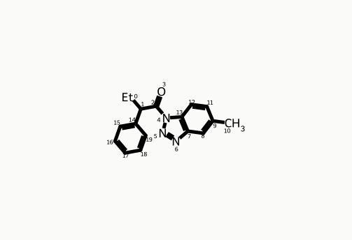 CCC(C(=O)n1nnc2cc(C)ccc21)c1ccccc1